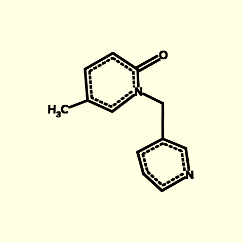 Cc1ccc(=O)n(Cc2cccnc2)c1